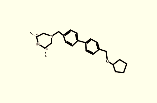 C[C@@H]1CN(Cc2ccc(-c3ccc(COC4CCCC4)cc3)cc2)C[C@H](C)N1